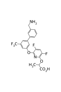 CC(Oc1nc(Oc2cc(-c3cccc(CN)c3)cc(C(F)(F)F)c2)c(F)cc1F)C(=O)O